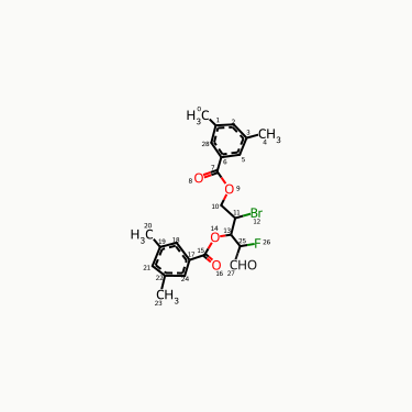 Cc1cc(C)cc(C(=O)OCC(Br)C(OC(=O)c2cc(C)cc(C)c2)C(F)C=O)c1